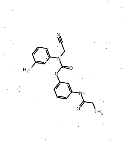 CCC(=O)Nc1cccc(OC(=O)N(CC#N)c2cccc(C)c2)c1